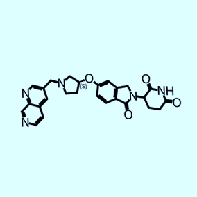 O=C1CCC(N2Cc3cc(O[C@H]4CCN(Cc5cnc6cnccc6c5)C4)ccc3C2=O)C(=O)N1